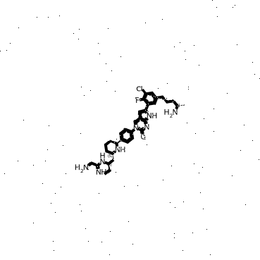 CC[C@H](C[C@@H]1CCC[C@@H](c2ccc(-n3cc4cc(-c5cc(CCC[C@H](C)N)cc(Cl)c5F)[nH]c4nc3=O)cc2)N1)NC(=N)CN